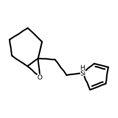 C1=C[SiH](CCC23CCCCC2O3)C=C1